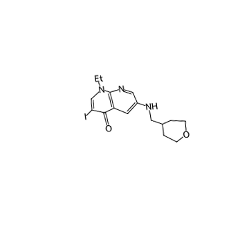 CCn1cc(I)c(=O)c2cc(NCC3CCOCC3)cnc21